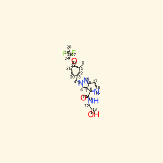 Cc1cc(Cn2cc3c(C(=O)NCCO)nccc3n2)ccc1OCC(C)(F)F